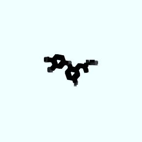 CNC(C)Cc1cc(F)ccc1Oc1ccc(Cl)c(Cl)c1